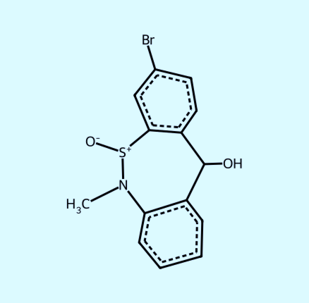 CN1c2ccccc2C(O)c2ccc(Br)cc2[S+]1[O-]